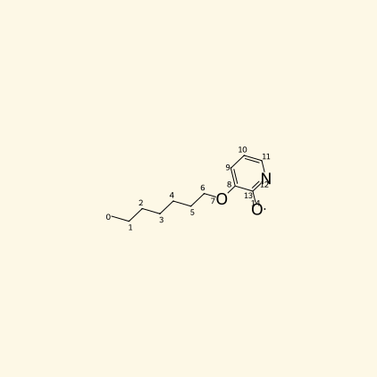 CCCCCCCOc1cccnc1[O]